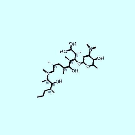 CCC[C@H](C)[C@H](O)[C@@H](C)N(C)C[C@H](C)C[C@H](C)C(O)[C@@H](C)C(OC1CC(N(C)C)C(O)C(C)O1)[C@@H](C)C(O)O